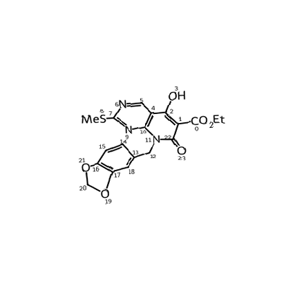 CCOC(=O)c1c(O)c2cnc(SC)nc2n(Cc2ccc3c(c2)OCO3)c1=O